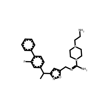 CC(c1ccc(-c2ccccc2)c(F)c1)c1cc(C/N=C(/N)N2CCN(CCN)CC2)on1